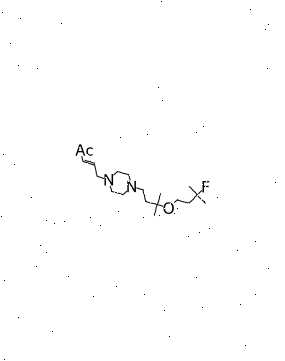 CC(=O)/C=C/CN1CCN(CCC(C)(C)OCCC(C)(C)F)CC1